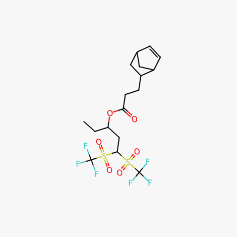 CCC(CC(S(=O)(=O)C(F)(F)F)S(=O)(=O)C(F)(F)F)OC(=O)CCC1CC2C=CC1C2